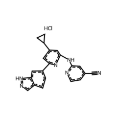 Cl.N#Cc1ccnc(Nc2cc(C3CC3)cc(-c3ccc4cn[nH]c4c3)n2)c1